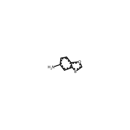 Nc1ccc2ocbc2c1